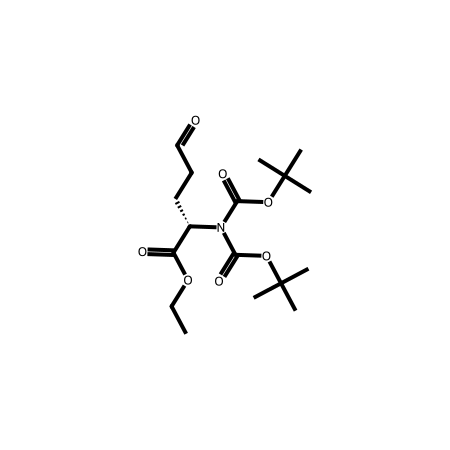 CCOC(=O)[C@H](CCC=O)N(C(=O)OC(C)(C)C)C(=O)OC(C)(C)C